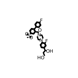 CS(=O)(=O)c1ccc(-c2ccc(F)cc2)c(C(=O)N2CCN(c3ccc(C(O)CCO)cc3F)CC2)c1